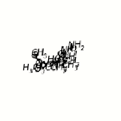 COCCCOc1cc(C[C@@H](C[C@H](N)[C@@H](O)C[C@H](C(=O)N[C@@H](CCC(N)=O)C(N)=O)C(C)C)C(C)C)ccc1OC